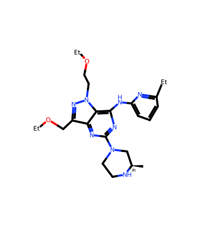 CCOCCn1nc(COCC)c2nc(N3CCN[C@H](C)C3)nc(Nc3cccc(CC)n3)c21